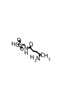 C[C@H](N)CCC(=O)NCS(=O)(=O)O